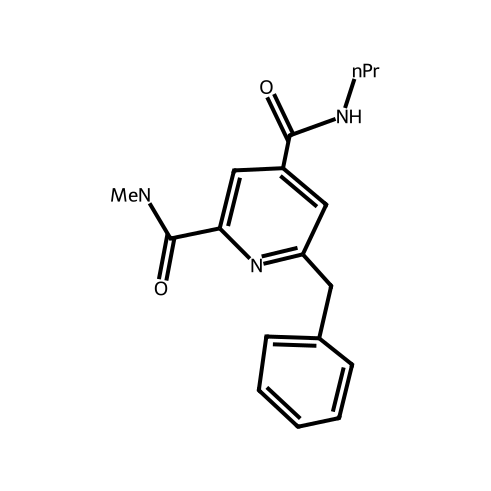 CCCNC(=O)c1cc(Cc2ccccc2)nc(C(=O)NC)c1